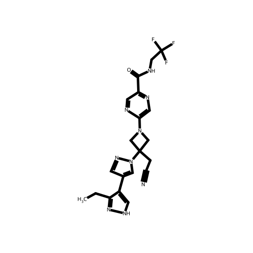 CCc1n[nH]cc1-c1cnn(C2(CC#N)CN(c3cnc(C(=O)NCC(F)(F)F)cn3)C2)c1